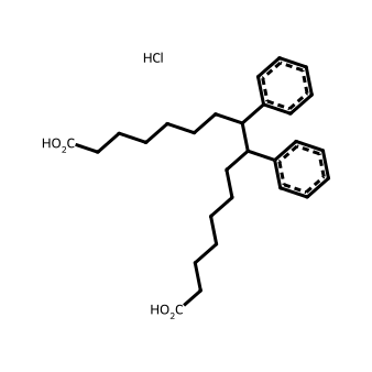 Cl.O=C(O)CCCCCCC(c1ccccc1)C(CCCCCCC(=O)O)c1ccccc1